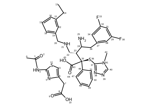 CC(=O)Nc1nc(CC(=O)O)cs1.CCc1cccc(CNC[C@H](C(N)Cc2cc(F)cc(F)c2)[C@@](Sc2nncn2C)(C(=O)O)c2ccccc2)c1